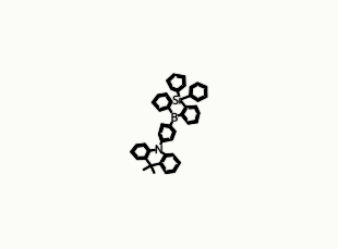 CC1(C)c2ccccc2N(c2ccc(B3c4ccccc4[Si](c4ccccc4)(c4ccccc4)c4ccccc43)cc2)c2ccccc21